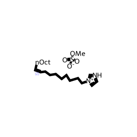 CCCCCCCC/C=C\CCCCCCCC[n+]1cc[nH]c1.COS(=O)(=O)[O-]